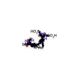 CCCCCN1/C(=C/C=C/C=C/C2=[N+](CCCS(=O)(=O)O)c3ccc(-c4cc(C(=O)NCCS(=O)(=O)O)nc(C(=O)NCCS(=O)(=O)O)c4)cc3C2(C)C)C(C)(C)c2cc(-c3cc(C(=O)NCC)nc(C(=O)NCC)c3)ccc21